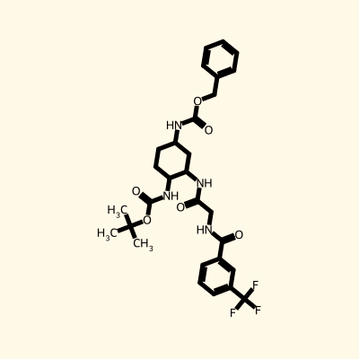 CC(C)(C)OC(=O)NC1CCC(NC(=O)OCc2ccccc2)CC1NC(=O)CNC(=O)c1cccc(C(F)(F)F)c1